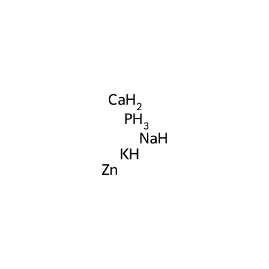 P.[CaH2].[KH].[NaH].[Zn]